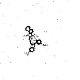 C=C(/C=C/C=C1/N(CCC)c2c(ccc3ccccc23)C1(C)C)C(C)(Cc1ccc(C)cc1)c1cc(OC)ccc1C